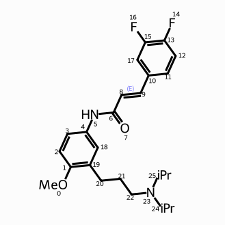 COc1ccc(NC(=O)/C=C/c2ccc(F)c(F)c2)cc1CCCN(C(C)C)C(C)C